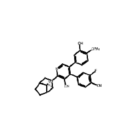 COc1ccc(-c2cnc(N3CC4CCC(C3)C4N)c(C#N)c2-c2ccc(C#N)c(F)c2)cc1O